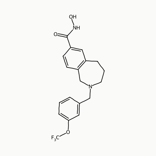 O=C(NO)c1ccc2c(c1)CCCN(Cc1cccc(OC(F)(F)F)c1)C2